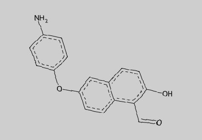 Nc1ccc(Oc2ccc3c(C=O)c(O)ccc3c2)cc1